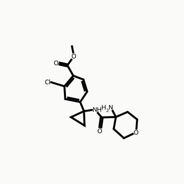 COC(=O)c1ccc(C2(NC(=O)C3(N)CCOCC3)CC2)cc1Cl